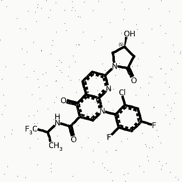 CC(NC(=O)c1cn(-c2c(F)cc(F)cc2Cl)c2nc(N3C[C@@H](O)CC3=O)ccc2c1=O)C(F)(F)F